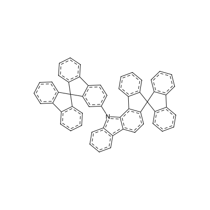 c1ccc2c(c1)-c1ccccc1C21c2ccccc2-c2ccc(-n3c4ccccc4c4ccc5c(c43)-c3ccccc3C53c4ccccc4-c4ccccc43)cc21